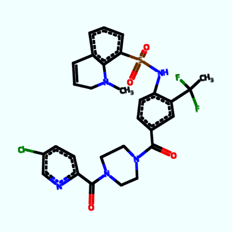 CN1CC=Cc2cccc(S(=O)(=O)Nc3ccc(C(=O)N4CCN(C(=O)c5ccc(Cl)cn5)CC4)cc3C(C)(F)F)c21